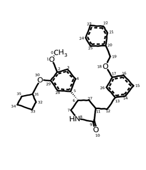 COc1ccc([C@H]2CNC(=O)C(Cc3cccc(OCc4ccccc4)c3)C2)cc1OC1CCCC1